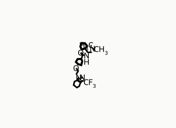 CN(C)CC(NC(=O)c1ccc(OCCn2nc(C(F)(F)F)c3c2CCCC3)cc1)c1ccccc1